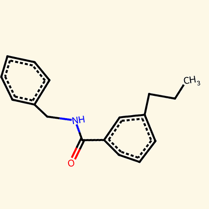 CCCc1cccc(C(=O)NCc2ccccc2)c1